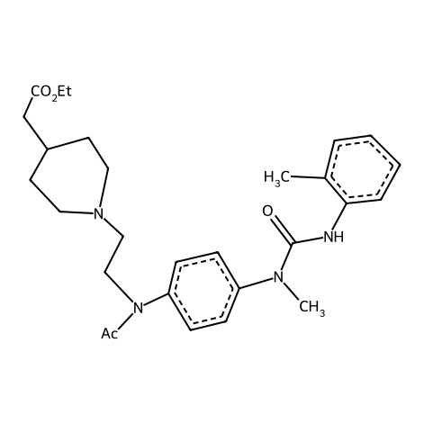 CCOC(=O)CC1CCN(CCN(C(C)=O)c2ccc(N(C)C(=O)Nc3ccccc3C)cc2)CC1